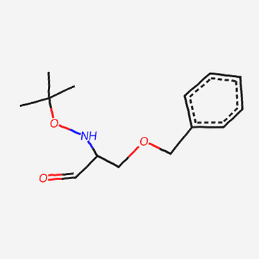 CC(C)(C)ONC(C=O)COCc1ccccc1